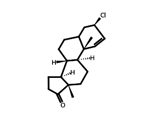 C[C@]12C=C[C@H](Cl)CC1CC[C@@H]1[C@@H]2CC[C@]2(C)C(=O)CC[C@@H]12